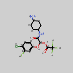 NC1CCC(NC(=O)C(OC(=O)C(F)(F)F)Oc2ccc(Cl)c(F)c2)CC1